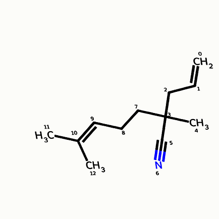 C=CCC(C)(C#N)CCC=C(C)C